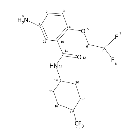 Nc1ccc(OCC(F)F)c(C(=O)NC2CCC(C(F)(F)F)CC2)c1